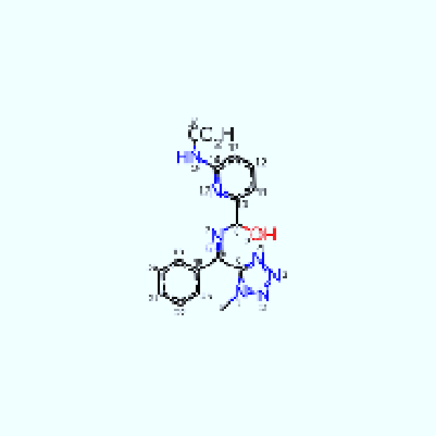 Cn1nnnc1/C(=N\C(O)c1cccc(NC(=O)O)n1)c1ccccc1